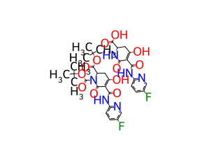 CC(C)(C)OC(=O)C1CC(O)=C(C(=O)Nc2ccc(F)cn2)C(=O)N1C(=O)OC(C)(C)C.O=C(Nc1ccc(F)cn1)C1=C(O)CC(C(=O)O)NC1=O